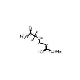 COC(=O)[CH]COC(C)(C)C(N)=O